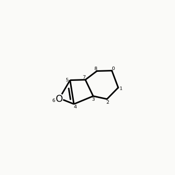 C1CCC2C3=C(O3)C2C1